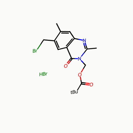 Br.Cc1cc2nc(C)n(COC(=O)C(C)(C)C)c(=O)c2cc1CBr